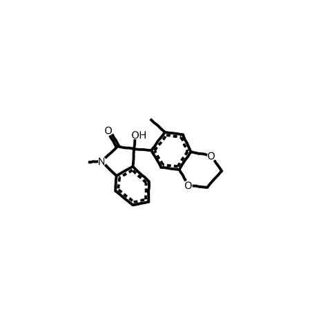 Cc1cc2c(cc1C1(O)C(=O)N(C)c3ccccc31)OCCO2